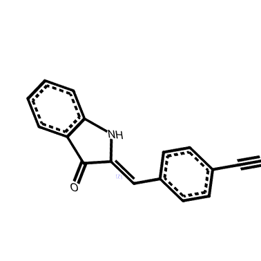 N#Cc1ccc(/C=C2\Nc3ccccc3C2=O)cc1